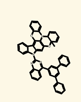 CC12C=CC=CC1N1c3ccccc3Oc3c1c(cc1c3c3ccccc3n1-c1nc(-c3cc(-c4ccccc4)cc(-c4ccccc4)c3)c3ccccc3n1)O2